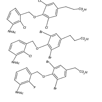 CC(=O)Nc1cccc(COc2c(Br)cc(CC(=O)O)cc2Br)c1F.CC(=O)Nc1cccc(COc2c(Br)cc(CCC(=O)O)cc2Br)c1Cl.CC(=O)Nc1cccc(COc2c(Cl)cc(CCC(=O)O)cc2Cl)c1Cl